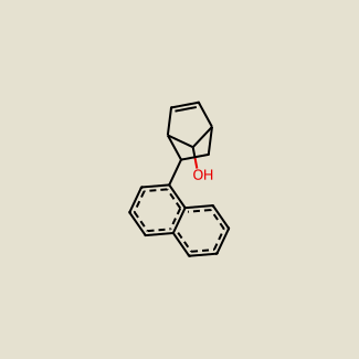 OC1C2C=CC1C(c1cccc3ccccc13)C2